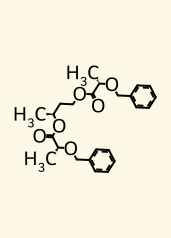 C[C@H](OCc1ccccc1)C(=O)OCC[C@H](C)OC(=O)[C@H](C)OCc1ccccc1